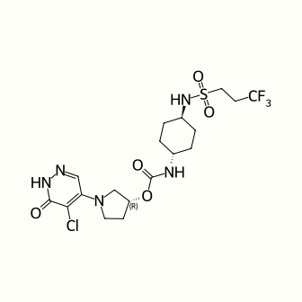 O=C(N[C@H]1CC[C@H](NS(=O)(=O)CCC(F)(F)F)CC1)O[C@@H]1CCN(c2cn[nH]c(=O)c2Cl)C1